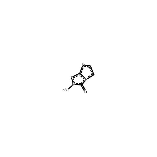 CCCCn1sc2nccn2c1=O